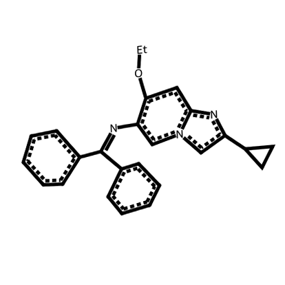 CCOc1cc2nc(C3CC3)cn2cc1N=C(c1ccccc1)c1ccccc1